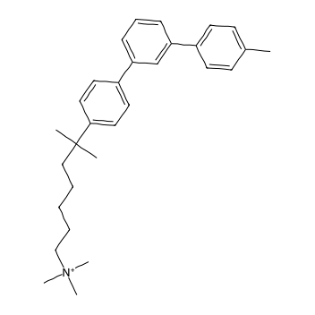 Cc1ccc(-c2cccc(-c3ccc(C(C)(C)CCCCC[N+](C)(C)C)cc3)c2)cc1